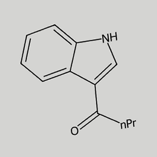 CCCC(=O)c1c[nH]c2ccccc12